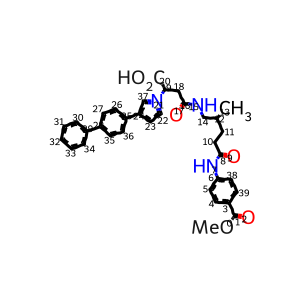 COC(=O)c1ccc(NC(=O)CCC(C)CNC(=O)CC(C(=O)O)n2ccc(-c3ccc(-c4ccccc4)cc3)c2)cc1